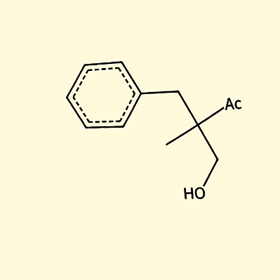 CC(=O)C(C)(CO)Cc1ccccc1